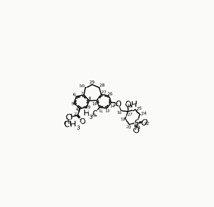 COC(=O)c1ccc2c(c1)-c1c(C)cc(OCC3(O)CCS(=O)(=O)CC3)cc1CCC2